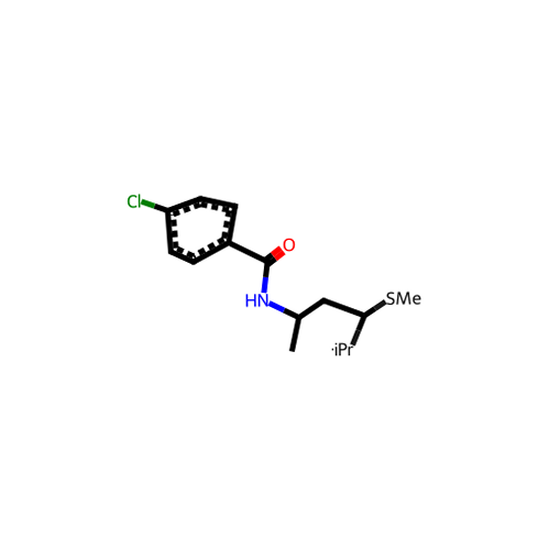 CSC(CC(C)NC(=O)c1ccc(Cl)cc1)[C](C)C